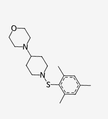 Cc1cc(C)c(SN2CCC(N3CCOCC3)CC2)c(C)c1